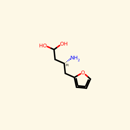 N[C@H](CC1=C=C=CO1)CC(O)O